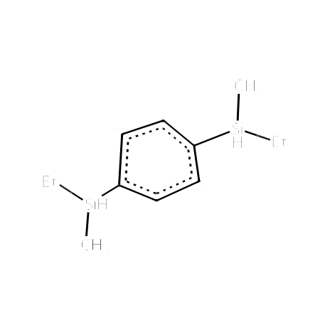 CC[SiH](C)c1ccc([SiH](C)CC)cc1